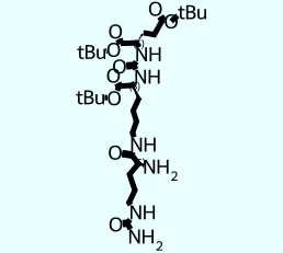 CC(C)(C)OC(=O)CC[C@H](NC(=O)N[C@@H](CCCCNC(=O)[C@@H](N)CCCNC(N)=O)C(=O)OC(C)(C)C)C(=O)OC(C)(C)C